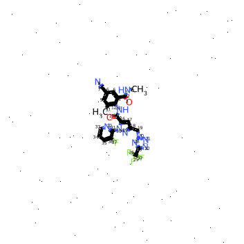 CNC(=O)c1cc(C#N)cc(C)c1NC(=O)c1cc(Cn2nnc(C(F)(F)F)n2)nn1-c1ncccc1F